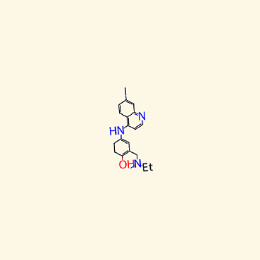 CCN(C)CC1=C(O)CCC(Nc2ccnc3cc(I)ccc23)=C1